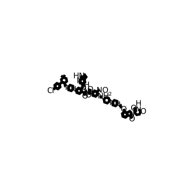 CC1(C)CCC(CN2CCN(c3ccc(C(=O)NS(=O)(=O)c4ccc(NC[C@H]5CC[C@@H](N6CCN(CCOc7cccc8c7CN(C7CCC(=O)NC7=O)C8=O)CC6)CC5)c([N+](=O)[O-])c4)c(Oc4cnc5[nH]ccc5c4)c3)CC2)=C(c2ccc(Cl)cc2)C1